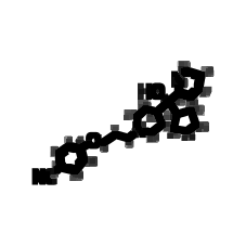 N#Cc1ccc(OCCCN2CCC([C@](O)(c3ccccn3)C3CCCC3)CC2)cc1